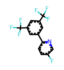 Fc1ccc(-c2cc(C(F)(F)F)cc(C(F)(F)F)c2)nc1